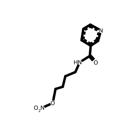 O=C(NCCCCO[N+](=O)[O-])c1cccnc1